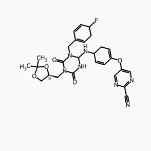 CC1(C)OC[C@H](CN2C(=O)NC(NC3C=CC(Oc4cnc(C#N)nc4)=CC3)N(CC3=CCC(F)C=C3)C2=O)O1